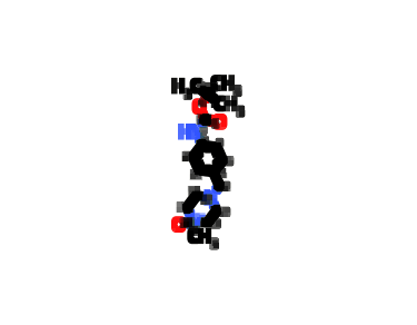 CC(C)(C)OC(=O)Nc1ccc(CN2CC[N+](C)([O-])CC2)cc1